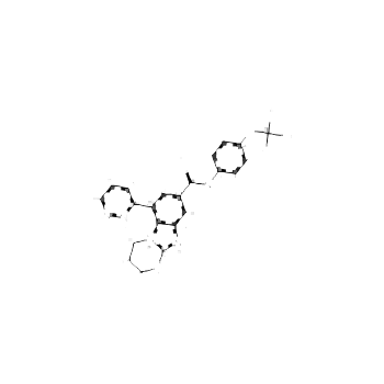 O=C(Nc1ccc(OC(F)(F)Cl)cc1)c1cc(-c2cccnn2)c2c(c1)nc1n2CCCO1